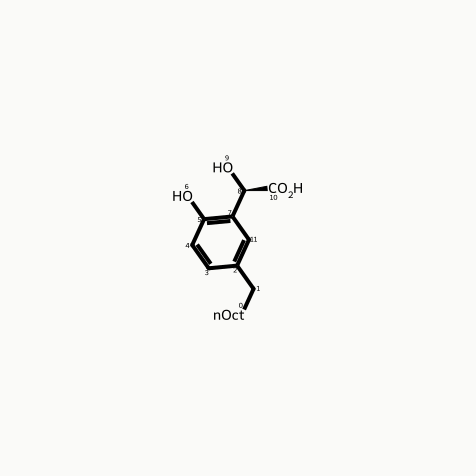 CCCCCCCCCc1ccc(O)c([C@@H](O)C(=O)O)c1